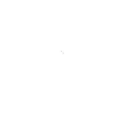 C1=CNC2OC=CCC2=C1